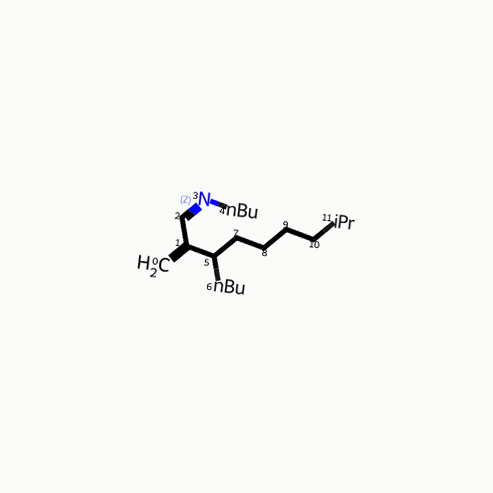 C=C(/C=N\CCCC)C(CCCC)CCCCC(C)C